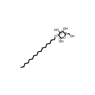 CCCCCCCCCCCCCCCCO[C@@H]1[C@@H](O)[C@H](O)[C@@H](CO)O[C@@H]1O